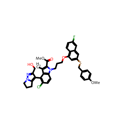 COC(=O)c1c(C)c2c(-c3c(CO)nn4c3CCC4)c(Cl)ccc2n1CCCOc1cc(SCc2ccc(OC)cc2)cc2cc(F)ccc12